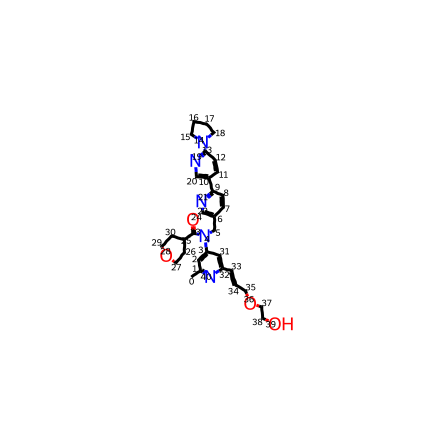 Cc1cc(N(Cc2ccc(-c3ccc(N4CCCC4)nc3)nc2)C(=O)C2CCOCC2)cc(/C=C/COCCO)n1